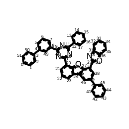 c1ccc(-c2cccc(-c3nc(-c4ccccc4)nc(-c4cccc5c4oc4c(-c6nc7ccccc7o6)cc(-c6ccccc6)cc45)n3)c2)cc1